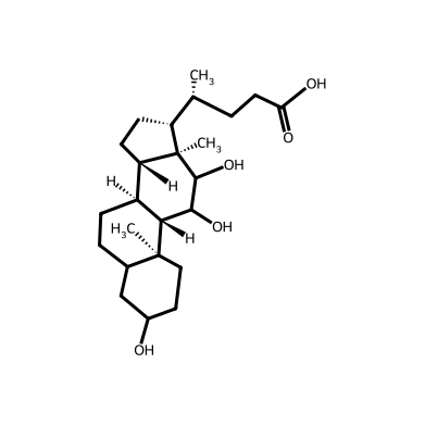 C[C@H](CCC(=O)O)[C@H]1CC[C@H]2[C@@H]3CCC4CC(O)CC[C@]4(C)[C@H]3C(O)C(O)[C@]12C